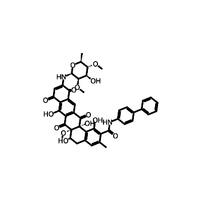 CO[C@@H]1[C@@H](O)[C@@H](OC)[C@@H](NC2=CC(=O)c3c(cc4c(c3O)C(=O)[C@]3(OC)[C@H](O)Cc5cc(C)c(C(=O)Nc6ccc(-c7ccccc7)cc6)c(O)c5[C@]3(O)C4=O)C2=O)O[C@H]1C